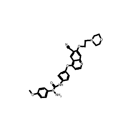 COc1ccc(N(N)C(=O)Nc2ccc(Oc3ccnc4cc(OCCN5CCOCC5)c(C#N)cc34)cc2)cc1